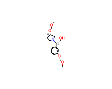 COCOc1cccc([C@@H](CO)N2CC[C@H](OCOC)C2)c1